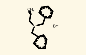 C=CC[S+](Cc1ccccc1)Cc1ccccc1.[Br-]